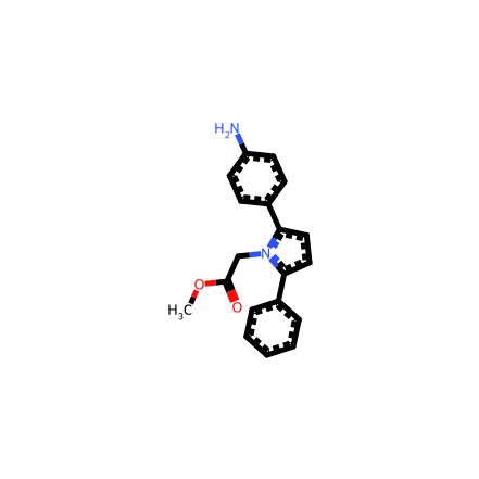 COC(=O)Cn1c(-c2ccccc2)ccc1-c1ccc(N)cc1